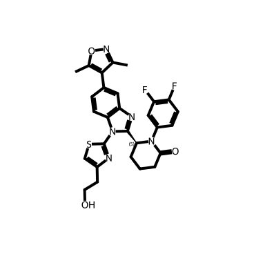 Cc1noc(C)c1-c1ccc2c(c1)nc([C@@H]1CCCC(=O)N1c1ccc(F)c(F)c1)n2-c1nc(CCO)cs1